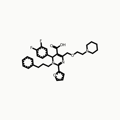 O=C(O)C1=C(COCCN2CCCCC2)N=C(c2ccco2)N(CCCc2ccccc2)C1c1ccc(F)c(F)c1